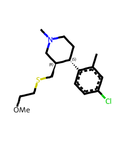 COCCSC[C@H]1CN(C)CC[C@@H]1c1ccc(Cl)cc1C